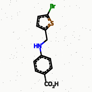 O=C(O)c1ccc(NCc2ccc(Br)s2)cc1